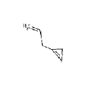 C=CCC1=[C]C1